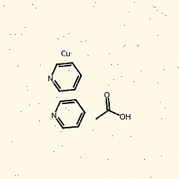 CC(=O)O.[Cu].c1ccncc1.c1ccncc1